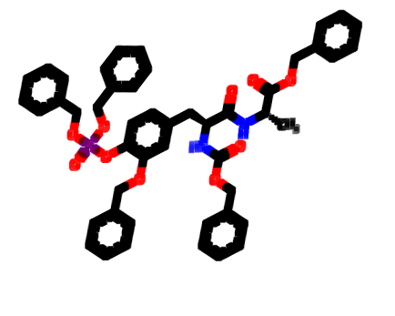 C[C@H](NC(=O)[C@H](Cc1ccc(OP(=O)(OCc2ccccc2)OCc2ccccc2)c(OCc2ccccc2)c1)NC(=O)OCc1ccccc1)C(=O)OCc1ccccc1